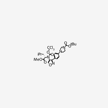 COC(=O)[C@H](CC(C)C)N(C(=O)OCC(Cl)(Cl)Cl)c1conc1-c1ccc(N2CCN(C(=O)OC(C)(C)C)CC2)cc1